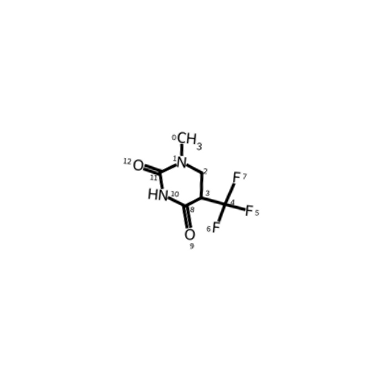 CN1CC(C(F)(F)F)C(=O)NC1=O